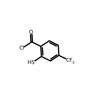 O=C(Cl)c1ccc(C(F)(F)F)cc1S